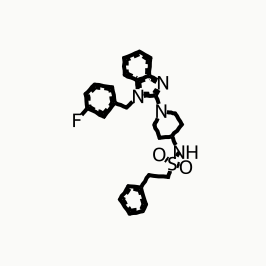 O=S(=O)(CCc1ccccc1)NC1CCN(c2nc3ccccc3n2Cc2cccc(F)c2)CC1